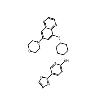 c1cnc2c(O[C@H]3CC[C@@H](Nc4ncc(-c5nnco5)cn4)CC3)cc(N3CCOCC3)cc2n1